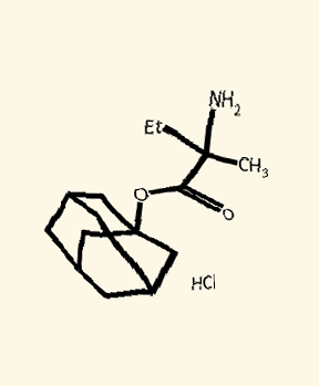 CCC(C)(N)C(=O)OC12CC3CC(CC(C3)C1)C2.Cl